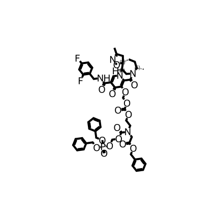 CC1=NO[C@@]2(CC[C@H](C)N3C[C@H]2n2cc(C(=O)NCc4ccc(F)cc4F)c(=O)c(OCOC(=O)OCCN(CC(=O)OCc4ccccc4)C(=O)OCOP(=O)(OCc4ccccc4)OCc4ccccc4)c2C3=O)C1